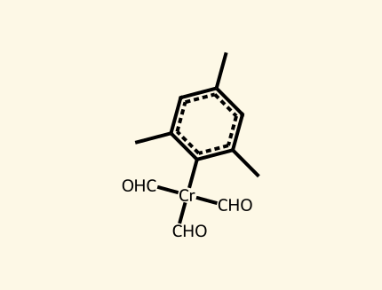 Cc1cc(C)[c]([Cr]([CH]=O)([CH]=O)[CH]=O)c(C)c1